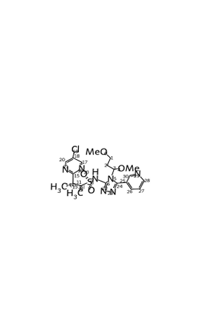 COCCC(OC)n1c(NS(=O)(=O)[C@@H](C)[C@H](C)c2ncc(Cl)cn2)nnc1-c1cccnc1